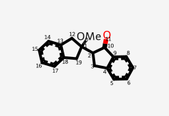 COC1(C2Cc3ccccc3C2=O)Cc2ccccc2C1